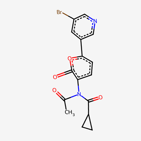 CC(=O)N(C(=O)C1CC1)c1ccc(-c2cncc(Br)c2)oc1=O